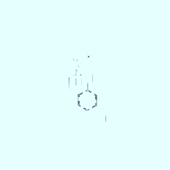 COc1ccc(CC(C)N[S@@+]([O-])C(C)(C)C)c(Cl)c1